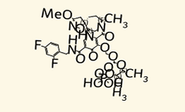 COC1=NO[C@@]2(CC[C@H](C)N3C[C@H]2n2cc(C(=O)NCc4ccc(F)cc4F)c(=O)c(OCOC(=O)O[C@@H](C)[C@H](C)OP(=O)(O)O)c2C3=O)C1